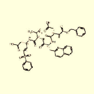 CC(C)[C@H](NC(=O)[C@@H](Cc1ccc2ccccc2n1)NC(=O)[C@H](CC(=O)O)NC(=O)OCc1ccccc1)C(=O)N[C@H](/C=C/S(=O)(=O)c1ccccc1)CC(=O)O